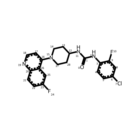 O=C(Nc1ccc(Cl)cc1F)NC1CCN(c2ccnc3ccc(F)cc23)CC1